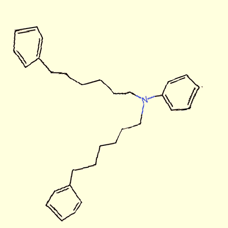 [c]1ccc(N(CCCCCCc2ccccc2)CCCCCCc2ccccc2)cc1